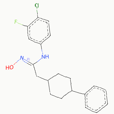 O/N=C(\CC1CCC(c2ccccc2)CC1)Nc1ccc(Cl)c(F)c1